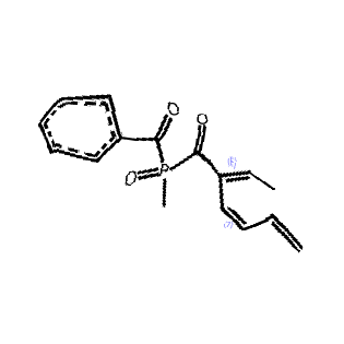 C=C/C=C\C(=C/C)C(=O)P(C)(=O)C(=O)c1ccccc1